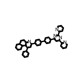 c1ccc(-c2cc(-c3ccc(-c4ccc(-c5cc(-c6ccccn6)nc(-c6ccccn6)n5)cc4)cc3)nc3ccc4ccccc4c23)cc1